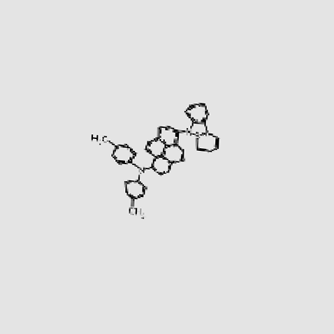 Cc1ccc(N(c2ccc(C)cc2)c2ccc3ccc4c(N5B6C=CC=CN6c6ccccc65)ccc5ccc2c3c54)cc1